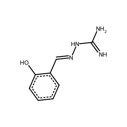 N=C(N)N/N=C/c1ccccc1O